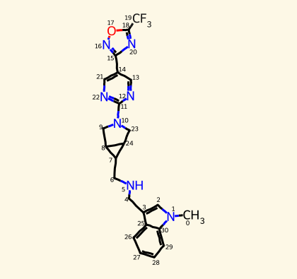 Cn1cc(CNCC2C3CN(c4ncc(-c5noc(C(F)(F)F)n5)cn4)CC23)c2ccccc21